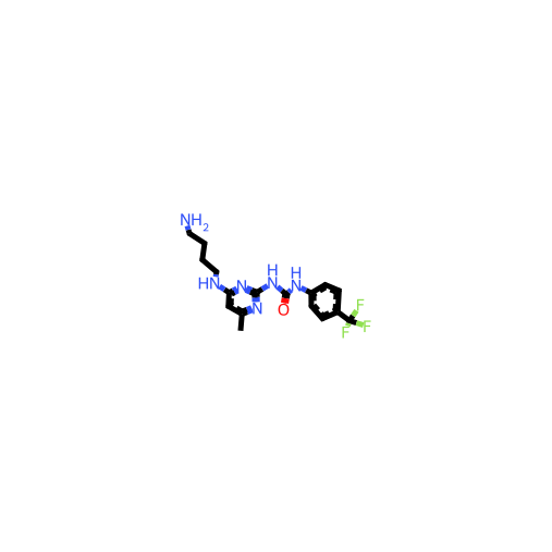 Cc1cc(NCCCCN)nc(NC(=O)Nc2ccc(C(F)(F)F)cc2)n1